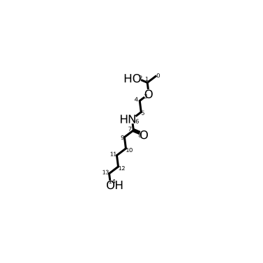 CC(O)OCCNC(=O)CCCCCO